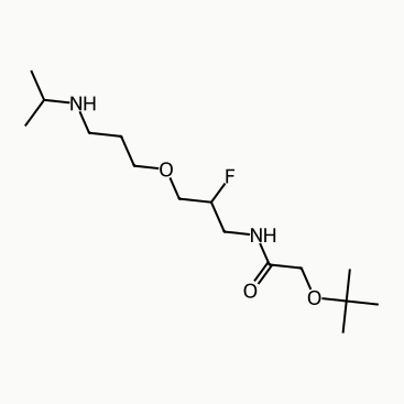 CC(C)NCCCOCC(F)CNC(=O)COC(C)(C)C